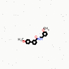 COc1ccc(-c2cccc(C(=O)NCCc3cccc(OC)c3)c2)cc1